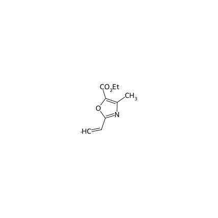 [CH]=Cc1nc(C)c(C(=O)OCC)o1